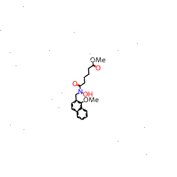 COC(=O)CCCCC(=O)N(O)Cc1ccc2ccccc2c1OC